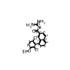 CCOc1ncc(Cl)c(-c2cccc3ccc(C(=O)N=C(N)N)cc23)c1Cl